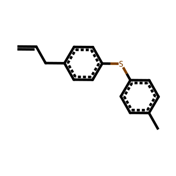 C=CCc1ccc(Sc2ccc(C)cc2)cc1